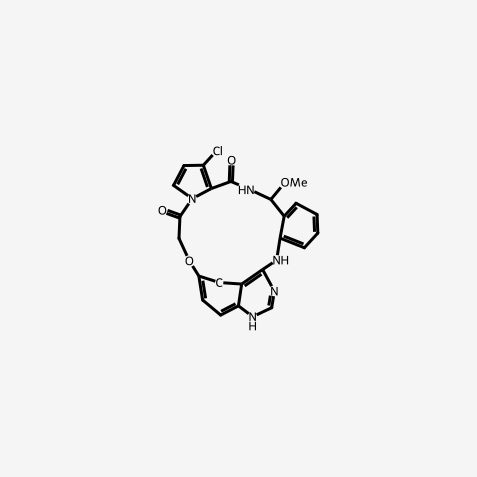 COC1NC(=O)c2c(Cl)ccn2C(=O)COC2=CC=C3NC=NC(=C3C2)Nc2ccccc21